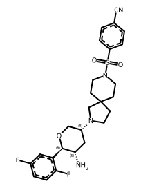 N#Cc1ccc(S(=O)(=O)N2CCC3(CCN([C@H]4CO[C@H](c5cc(F)ccc5F)[C@@H](N)C4)C3)CC2)cc1